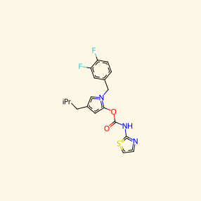 CC(C)Cc1cc(OC(=O)Nc2nccs2)n(Cc2ccc(F)c(F)c2)c1